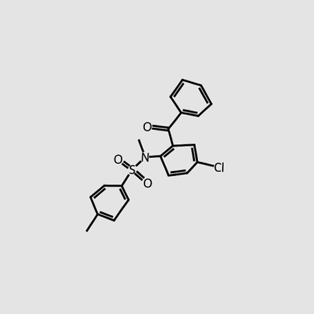 Cc1ccc(S(=O)(=O)N(C)c2ccc(Cl)cc2C(=O)c2ccccc2)cc1